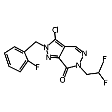 O=c1c2nn(Cc3ccccc3F)c(Cl)c2cnn1CC(F)F